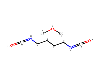 CCOCC.O=C=NCCCCN=C=O